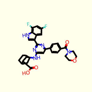 O=C(O)C1C2CCC(CC2)C1Nc1cc(-c2ccc(C(=O)N3CCOCC3)cc2)nc(-c2c[nH]c3c(F)cc(F)cc23)n1